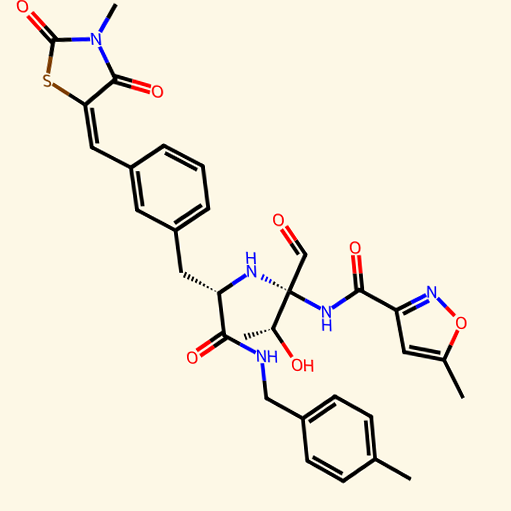 Cc1ccc(CNC(=O)[C@H](Cc2cccc(C=C3SC(=O)N(C)C3=O)c2)N[C@](C=O)(NC(=O)c2cc(C)on2)[C@@H](C)O)cc1